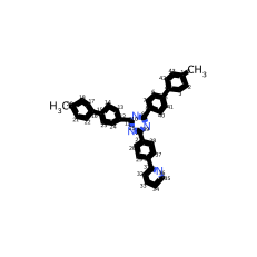 Cc1ccc(-c2ccc(-c3nc(-c4ccc(-c5ccc(C)cc5)cc4)nc(-c4ccc(-c5ccccn5)cc4)n3)cc2)cc1